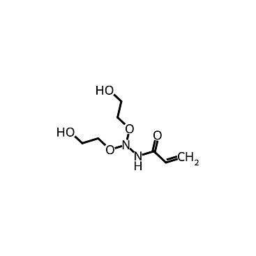 C=CC(=O)NN(OCCO)OCCO